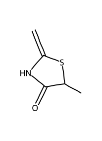 C=C1NC(=O)C(C)S1